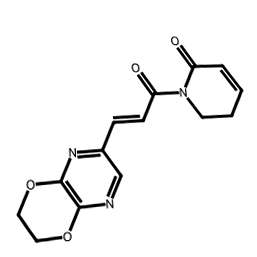 O=C1C=CCCN1C(=O)C=Cc1cnc2c(n1)OCCO2